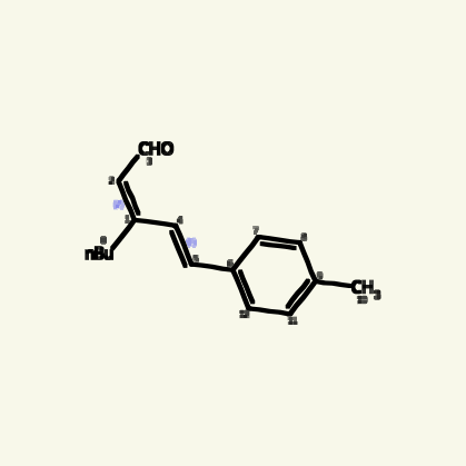 CCCCC(=C/C=O)/C=C/c1ccc(C)cc1